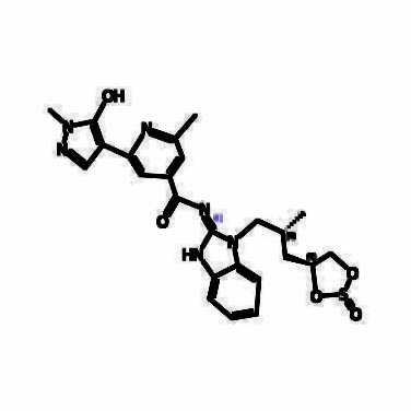 Cc1cc(C(=O)/N=c2\[nH]c3ccccc3n2C[C@H](C)C[C@H]2COS(=O)O2)cc(-c2cnn(C)c2O)n1